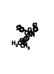 CC(C)S(=O)(=O)N1CCN(c2cnn(-c3cccc(Cl)c3)c(=O)c2OCc2ccc3sccc3c2)CC1